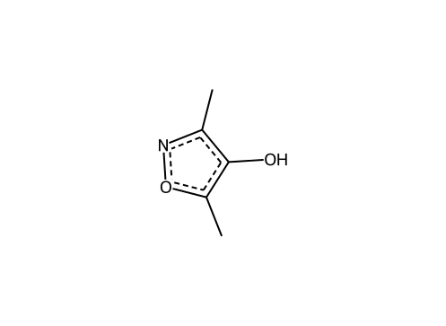 Cc1noc(C)c1O